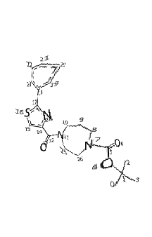 CC(C)(C)OC(=O)N1CCCN(C(=O)c2csc(-c3ccccc3)n2)CC1